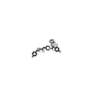 Cc1ccc(C=NNC(=O)C=C2CCN([C@H](C)[C@](O)(Cn3cncn3)c3ccc(F)cc3F)CC2)cc1